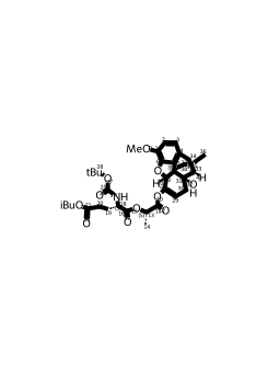 COc1ccc2c3c1O[C@H]1C(OC(=O)[C@H](C)OC(=O)[C@H](CCC(=O)OCC(C)C)NC(=O)OC(C)(C)C)=CC[C@@]4(O)[C@@H](C2)N(C)CC[C@]314